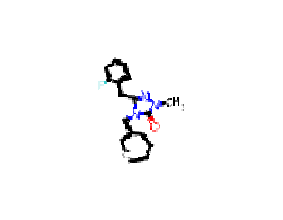 Cn1nc(Cc2ccccc2F)n(CC2CCCCCC2)c1=O